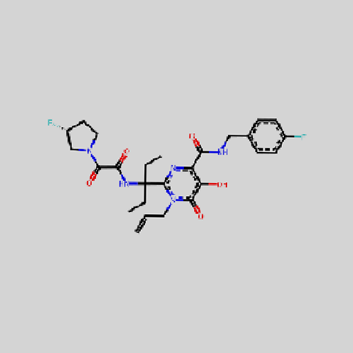 C=CCn1c(C(CC)(CC)NC(=O)C(=O)N2CC[C@@H](F)C2)nc(C(=O)NCc2ccc(F)cc2)c(O)c1=O